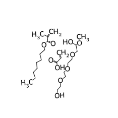 C=C(C)C(=O)OCCCCCCCC.C=CC(=O)O.COC(O)COCCOCCOCCO